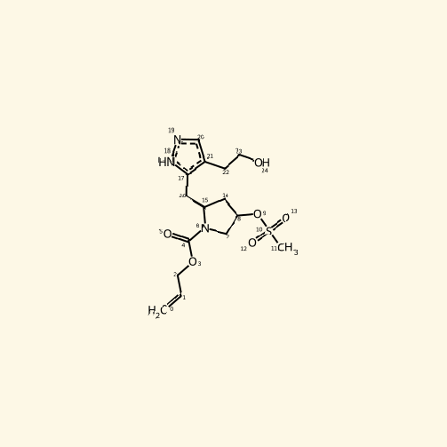 C=CCOC(=O)N1CC(OS(C)(=O)=O)CC1Cc1[nH]ncc1CCO